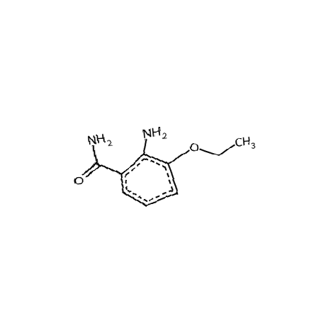 CCOc1cccc(C(N)=O)c1N